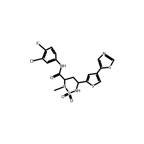 CN1C(C(=O)Nc2ccc(F)c(Cl)c2)CC(c2cc(-c3cncs3)cs2)NS1(=O)=O